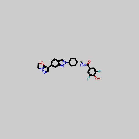 O=C(NC[C@H]1CC[C@H](n2cc3ccc(-c4cnn5c4OCC5)cc3n2)CC1)c1cc(F)c(O)c(F)c1